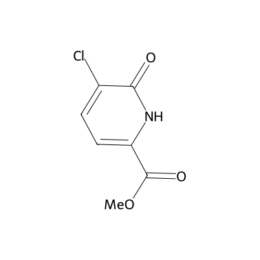 COC(=O)c1ccc(Cl)c(=O)[nH]1